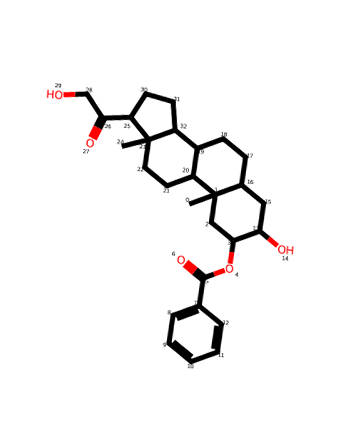 CC12CC(OC(=O)c3ccccc3)C(O)CC1CCC1C2CCC2(C)C(C(=O)CO)CCC12